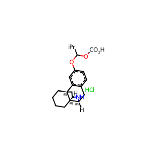 CC(C)C(OC(=O)O)Oc1ccc2c(c1)[C@@]13CCCC[C@H]1[C@@H](C2)NCC3.Cl